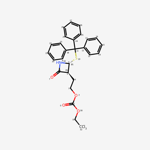 O=C(OCC[C@H]1C(=O)N[C@@H]1SC(c1ccccc1)(c1ccccc1)c1ccccc1)OCC(Cl)(Cl)Cl